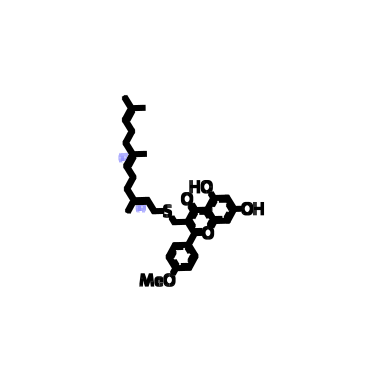 COc1ccc(-c2oc3cc(O)cc(O)c3c(=O)c2CSC/C=C(\C)CC/C=C(\C)CCC=C(C)C)cc1